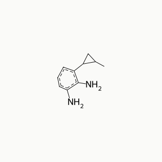 CC1CC1c1cccc(N)c1N